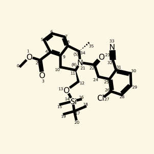 COC(=O)c1cccc2c1C[C@H](CO[Si](C)(C)C(C)(C)C)N(C(=O)Cc1c(Cl)cccc1C#N)[C@H]2C